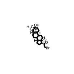 C[C@@]1(O)CC[C@@]2(C)[C@H](CCC3[C@@H]2CC[C@]2(C)[C@@H](C(=O)CBr)CC[C@@H]32)C1